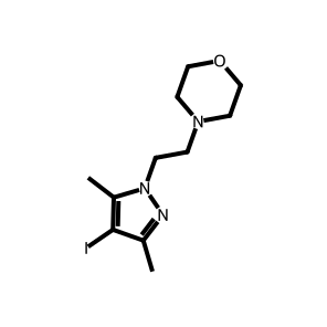 Cc1nn(CCN2CCOCC2)c(C)c1I